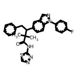 CC(C)(C(=O)Nc1nncs1)C(Cc1ccccc1)c1ccc2c(cnn2-c2ccc(F)cc2)c1